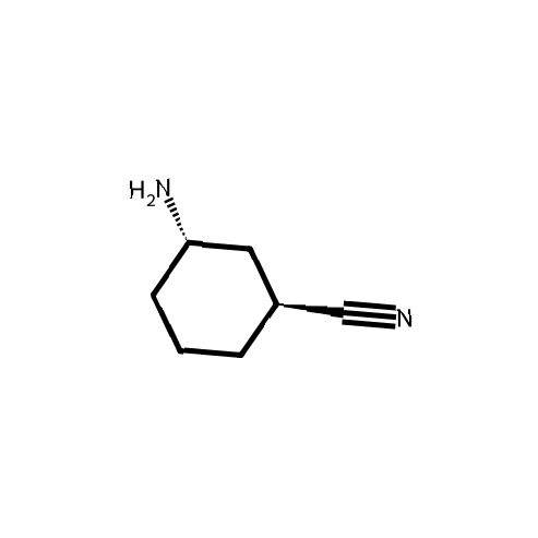 N#C[C@H]1CCC[C@H](N)C1